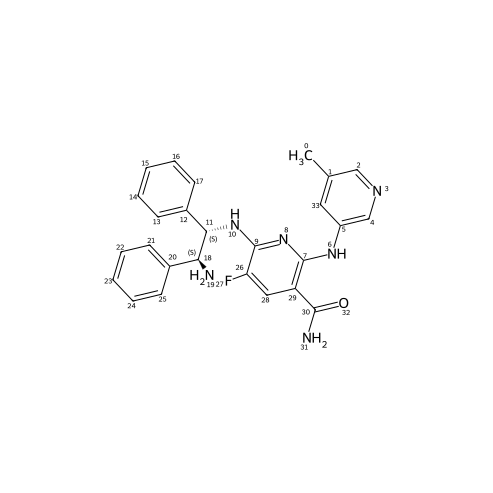 Cc1cncc(Nc2nc(N[C@@H](c3ccccc3)[C@@H](N)c3ccccc3)c(F)cc2C(N)=O)c1